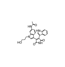 CC(=O)Nc1ccc2c(C3=C(c4c[nH]c5ccccc45)C(=O)NC3=O)cn(CCCO)c2c1